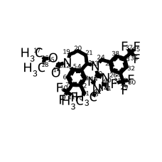 CCc1cc2c(cc1C(F)(F)F)N(C(=O)OC(C)C)CCCC2N(Cc1cc(C(F)(F)F)cc(C(F)(F)F)c1)c1nnn(C)n1